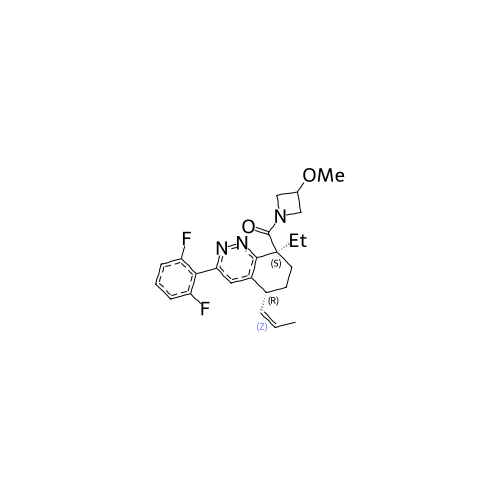 C/C=C\[C@H]1CC[C@](CC)(C(=O)N2CC(OC)C2)c2nnc(-c3c(F)cccc3F)cc21